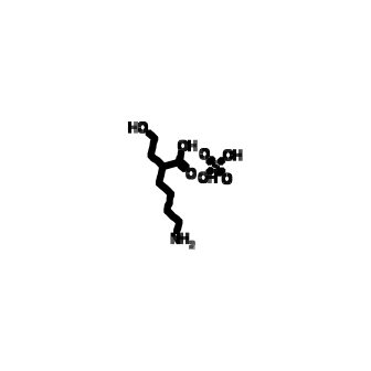 NCCCCC(CCO)C(=O)O.O=S(=O)(O)O